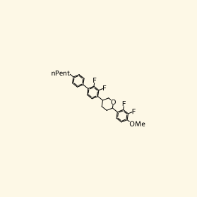 CCCCCc1ccc(-c2ccc(C3CCC(c4ccc(OC)c(F)c4F)OC3)c(F)c2F)cc1